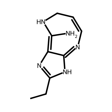 CCc1nc2/c([nH]1)=N\C=C/CN/C=2N